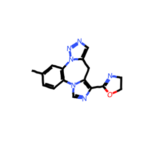 Cc1ccc2c(c1)-n1nncc1Cc1c(C3=NCCO3)ncn1-2